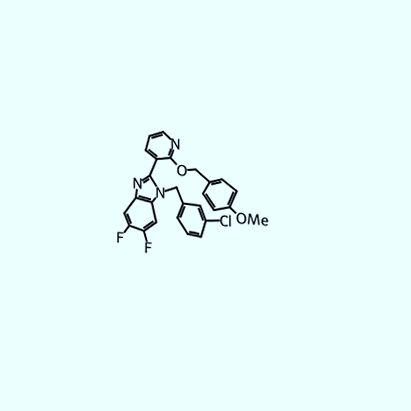 COc1ccc(COc2ncccc2-c2nc3cc(F)c(F)cc3n2Cc2cccc(Cl)c2)cc1